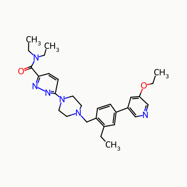 CCOc1cncc(-c2ccc(CN3CCN(c4ccc(C(=O)N(CC)CC)nn4)CC3)c(CC)c2)c1